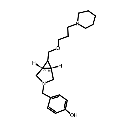 Oc1ccc(CN2C[C@@H]3C(COCCCN4CCCCC4)[C@@H]3C2)cc1